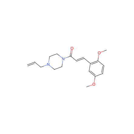 C=CCN1CCN(C(=O)C=Cc2cc(OC)ccc2OC)CC1